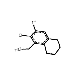 OCc1c(Cl)c(Cl)cc2c1CCCC2